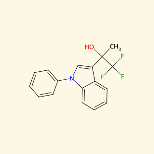 CC(O)(c1cn(-c2ccccc2)c2ccccc12)C(F)(F)F